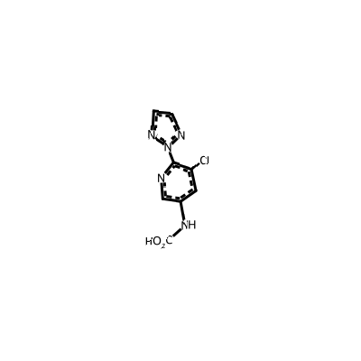 O=C(O)Nc1cnc(-n2nccn2)c(Cl)c1